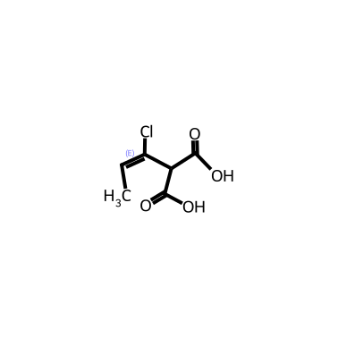 C/C=C(/Cl)C(C(=O)O)C(=O)O